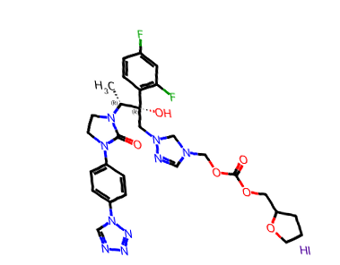 C[C@@H](N1CCN(c2ccc(-n3cnnn3)cc2)C1=O)[C@](O)(CN1CN(COC(=O)OCC2CCCO2)C=N1)c1ccc(F)cc1F.I